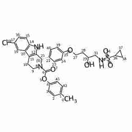 Cc1ccc(OC(=O)N2CCc3c([nH]c4ccc(Cl)cc34)[C@@H]2c2ccc(OCCC(O)CNS(=O)(=O)C3CC3)cc2)cc1